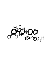 Cc1nc(N2CCC3(CCC[C@H]3N(C(=O)O)C(C)(C)C)CC2)cnc1-c1cccc(Cl)c1Cl